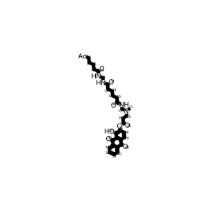 CC(=O)CCCCC(=O)NCNC(=O)CCCCC(=O)NCN(C)CCC(=O)Oc1ccc2c(c1O)C(=O)c1ccccc1C2=O